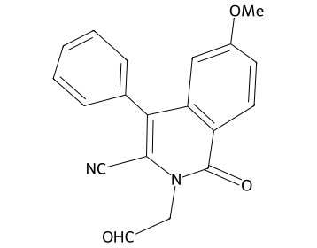 COc1ccc2c(=O)n(CC=O)c(C#N)c(-c3ccccc3)c2c1